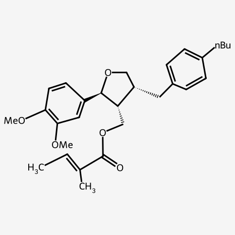 CC=C(C)C(=O)OC[C@H]1[C@@H](Cc2ccc(CCCC)cc2)CO[C@@H]1c1ccc(OC)c(OC)c1